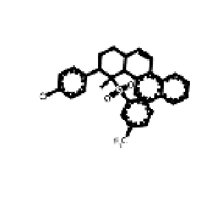 CC1(S(=O)(=O)c2cccc(C(F)(F)F)c2)C(c2ccc(Cl)cc2)CCC2C=Cc3c(ccc4ccccc34)C21